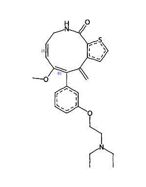 C=C1/C(c2cccc(OCCN(CC)CC)c2)=C(OC)\C=C/CNC(=O)c2sccc21